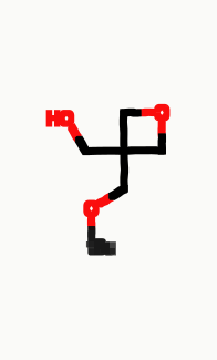 CC(C)(C)OCC1(CO)COC1